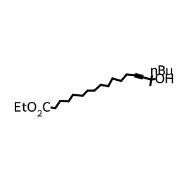 CCCCC(C)(O)C#CCCCCCCCCCCCCC(=O)OCC